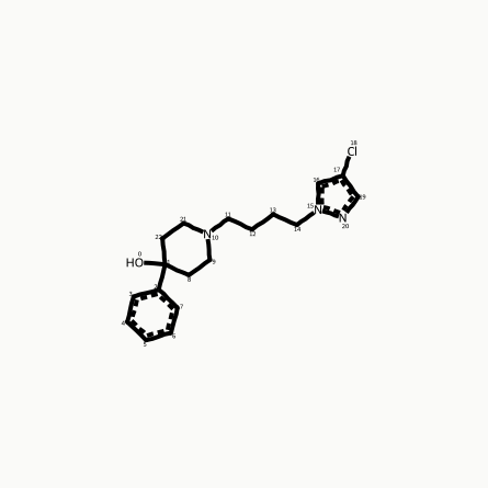 OC1(c2ccccc2)CCN(CCCCn2cc(Cl)cn2)CC1